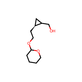 OCC1C[C@@H]1CCOC1CCCCO1